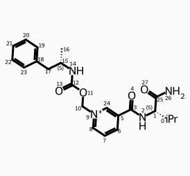 CC(C)[C@H](NC(=O)c1ccc[n+](COC(=O)N[C@@H](C)Cc2ccccc2)c1)C(N)=O